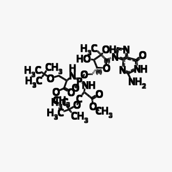 COC(=O)C(COC(C)(C)C)NP(=O)(NC(COC(C)(C)C)C(=O)OC)OC[C@H]1O[C@@H](n2cnc3c(=O)[nH]c(N)nc32)C(C)(O)C1O